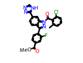 COC(=O)c1ccc(-c2nn(C(=O)c3c(C)cccc3Cl)c3cc(-c4nnc[nH]4)ccc23)c(F)c1